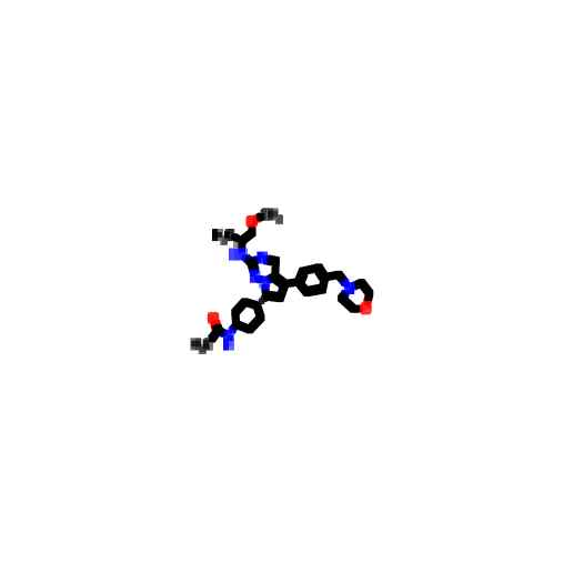 COC[C@H](C)Nc1ncc2c(-c3ccc(CN4CCOCC4)cc3)cc([C@H]3CC[C@H](NC(C)=O)CC3)n2n1